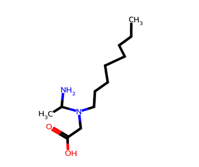 CCCCCCCCN(CC(=O)O)C(C)N